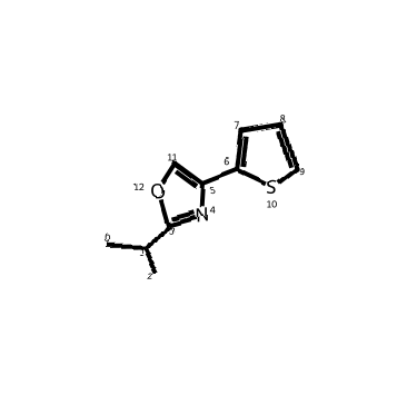 CC(C)c1nc(-c2cccs2)co1